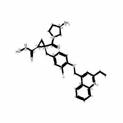 CCc1cc(COc2ccc(C[C@]3(C(=O)N4CC[C@@H](N)C4)C[C@@H]3C(=O)NO)cc2F)c2ccccc2n1